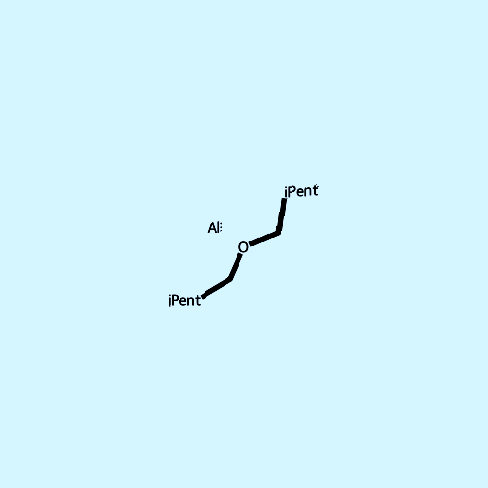 CCCC(C)COCC(C)CCC.[Al]